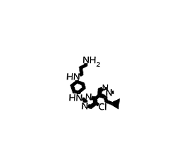 Cn1ncc(-c2nc(NC3CCC(NCCCN)CC3)ncc2Cl)c1CC1CC1